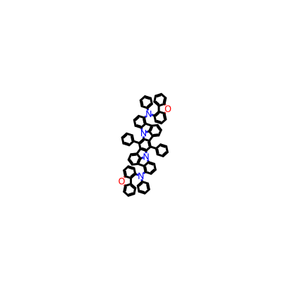 c1ccc(-c2c3c4cccc5c6c(N(c7ccccc7)c7cccc8oc9ccccc9c78)cccc6n(c3c(-c3ccccc3)c3c6cccc7c8c(N(c9ccccc9)c9cccc%10oc%11ccccc%11c9%10)cccc8n(c23)c76)c54)cc1